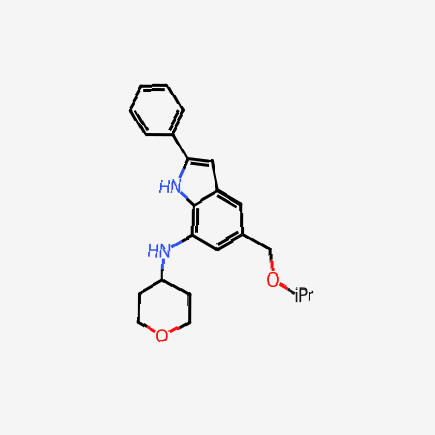 CC(C)OCc1cc(NC2CCOCC2)c2[nH]c(-c3ccccc3)cc2c1